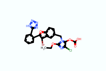 CCOc1nc(Cl)c(OC(=O)O)n1Cc1ccc2oc(-c3ccccc3-c3nnn[nH]3)c(Br)c2c1